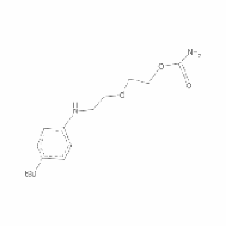 CC(C)(C)c1ccc(NCCOCCOC(N)=O)cc1